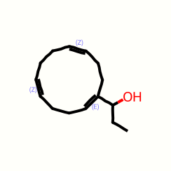 CCC(O)/C1=C/CC/C=C\CC/C=C\CC1